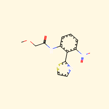 COCC(=O)Nc1cccc([N+](=O)[O-])c1-c1nccs1